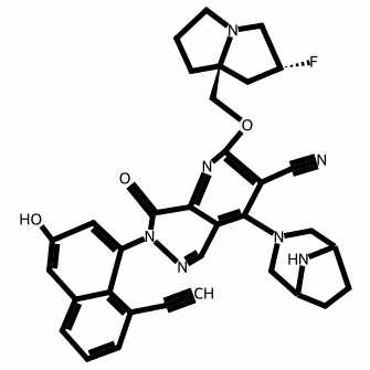 C#Cc1cccc2cc(O)cc(-n3ncc4c(N5CC6CCC(C5)N6)c(C#N)c(OC[C@@]56CCCN5C[C@H](F)C6)nc4c3=O)c12